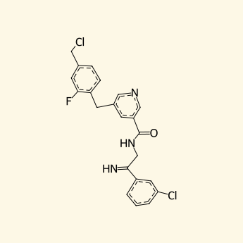 N=C(CNC(=O)c1cncc(Cc2ccc(CCl)cc2F)c1)c1cccc(Cl)c1